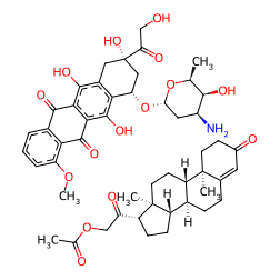 CC(=O)OCC(=O)[C@H]1CC[C@H]2[C@@H]3CCC4=CC(=O)CC[C@]4(C)[C@H]3CC[C@]12C.COc1cccc2c1C(=O)c1c(O)c3c(c(O)c1C2=O)C[C@@](O)(C(=O)CO)C[C@@H]3O[C@H]1C[C@H](N)[C@H](O)[C@H](C)O1